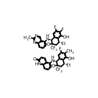 CC[C@@H]1C[C@](O)(C(F)(F)F)[C@@H](Nc2cccc3[nH]c(=O)ccc23)c2cc(F)c(C)c(O)c21.CC[C@@H]1C[C@](O)(C(F)(F)F)[C@@H](Nc2cccc3nc(C)ncc23)c2cc(F)c(F)c(O)c21